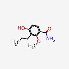 CCCc1c(O)ccc(C(N)=O)c1OC